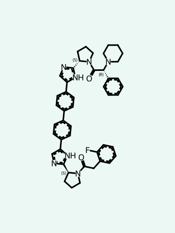 O=C(Cc1ccccc1F)N1CCC[C@H]1c1ncc(-c2ccc(-c3ccc(-c4cnc([C@@H]5CCCN5C(=O)[C@@H](c5ccccc5)N5CCCCC5)[nH]4)cc3)cc2)[nH]1